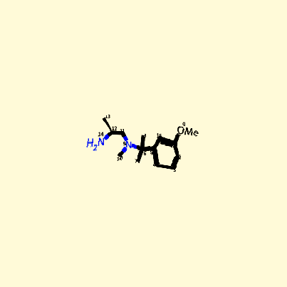 COc1cccc(C(C)(C)N(C)C[C@H](C)N)c1